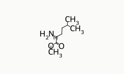 COC(=O)[C@H](N)CCC(C)C